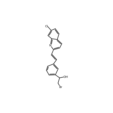 OC(CBr)c1cccc(/C=C/c2ccc3ccc(Cl)cc3n2)c1